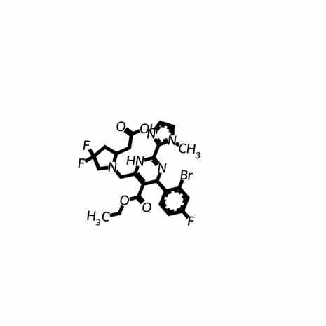 CCOC(=O)C1=C(CN2CC(F)(F)CC2CC(=O)O)NC(c2nccn2C)=NC1c1ccc(F)cc1Br